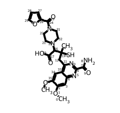 COc1cc2nc(C(N)=O)nc(CC(C)(S)C(C(=O)O)N3CCN(C(=O)c4ccco4)CC3)c2cc1OC